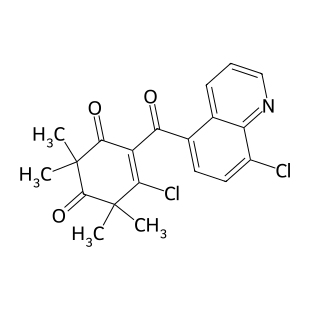 CC1(C)C(=O)C(C(=O)c2ccc(Cl)c3ncccc23)=C(Cl)C(C)(C)C1=O